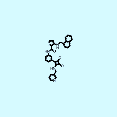 O=C(Nc1cccc(-c2c(NCc3cccnc3)c(=O)c2=O)c1)c1sccc1NCc1ccnc2ccccc12